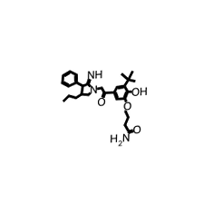 CCCC1CN(CC(=O)c2cc(OCCCC(N)=O)c(O)c(C(C)(C)C)c2)C(=N)C1c1ccccc1